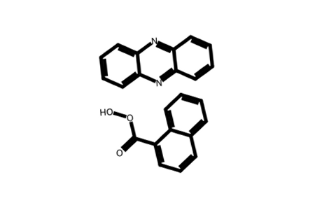 O=C(OO)c1cccc2ccccc12.c1ccc2nc3ccccc3nc2c1